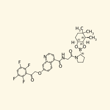 C[C@H]1[C@H]2OB([C@@H]3CCCN3C(=O)CNC(=O)c3ccnc4cc(OCC(=O)c5c(F)c(F)cc(F)c5F)ccc34)O[C@H]2CCC1(C)C